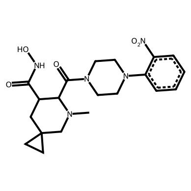 CN1CC2(CC2)CC(C(=O)NO)C1C(=O)N1CCN(c2ccccc2[N+](=O)[O-])CC1